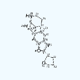 CC1(C)[C@H]2Cc3cc4oc([C@@H]5CCCO5)nc4cc3[C@]1(C)CCN2